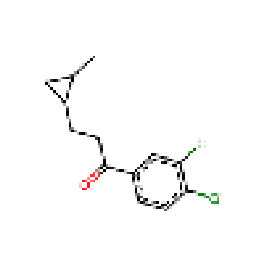 CC1CC1CCC(=O)c1ccc(Cl)c(Cl)c1